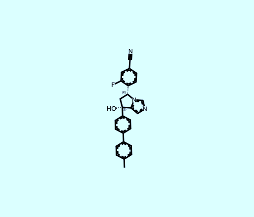 Cc1ccc(-c2ccc([C@@]3(O)C[C@H](c4ccc(C#N)cc4F)n4cncc43)cc2)cc1